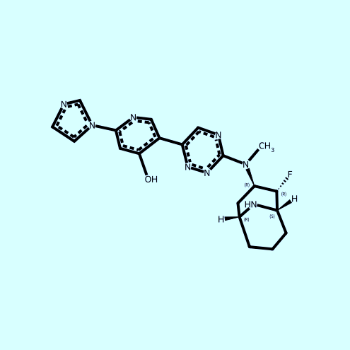 CN(c1ncc(-c2cnc(-n3ccnc3)cc2O)nn1)[C@@H]1C[C@H]2CCC[C@H](N2)[C@H]1F